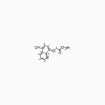 CC(C)OC(=S)COc1ccc(Cl)c2cccnc12